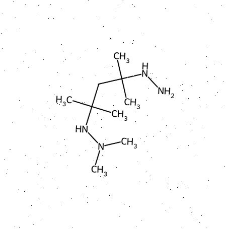 CN(C)NC(C)(C)CC(C)(C)NN